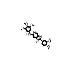 COc1ccc(-c2nc3cnc(Nc4cc(OC)c(OC)c(OC)c4)cc3n2C)cc1OC